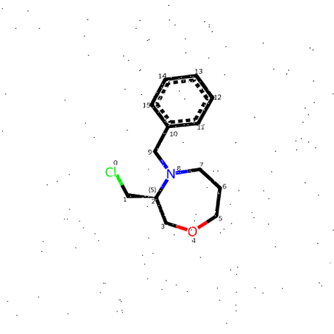 ClC[C@@H]1COCCCN1Cc1ccccc1